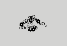 CC1(C)S[C@@H]2C(NC(=O)COc3ccccc3)C(=O)N2[C@H]1C(=O)OCc1ccc([N+](=O)[O-])cc1.CCCCCCCC[S+]([O-])C(C)Cc1ccc2c(c1)OCO2